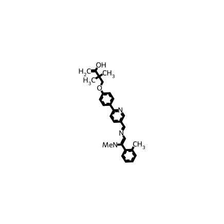 C=C(O)C(C)(C)COc1ccc(-c2ccc(/C=N/C=C(\NC)c3ccccc3C)cn2)cc1